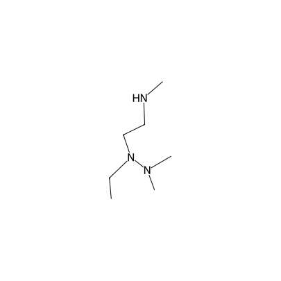 CCN(CCNC)N(C)C